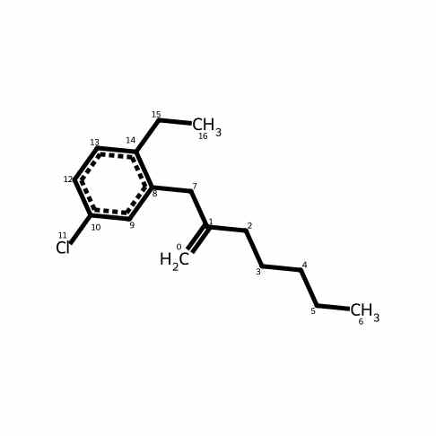 C=C(CCCCC)Cc1cc(Cl)ccc1CC